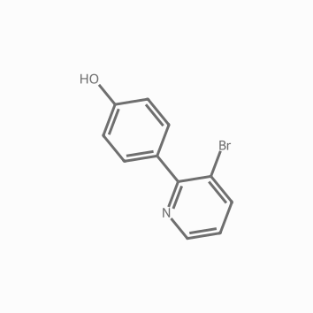 Oc1ccc(-c2ncccc2Br)cc1